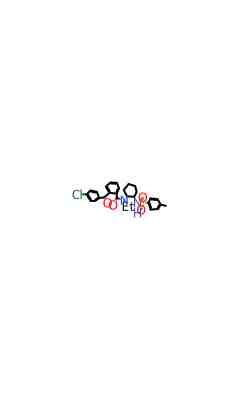 CCN(C(=O)c1ccccc1C(=O)c1ccc(Cl)cc1)[C@@H]1CCCC[C@H]1NS(=O)(=O)c1ccc(C)cc1